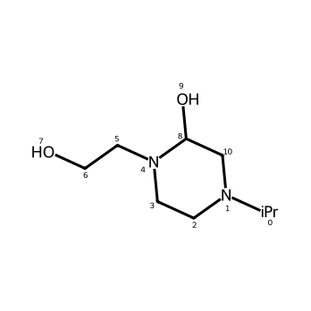 CC(C)N1CCN(CCO)C(O)C1